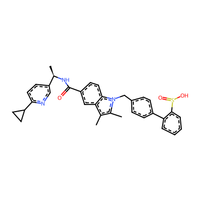 Cc1c(C)n(Cc2ccc(-c3ccccc3S(=O)O)cc2)c2ccc(C(=O)N[C@H](C)c3ccc(C4CC4)nc3)cc12